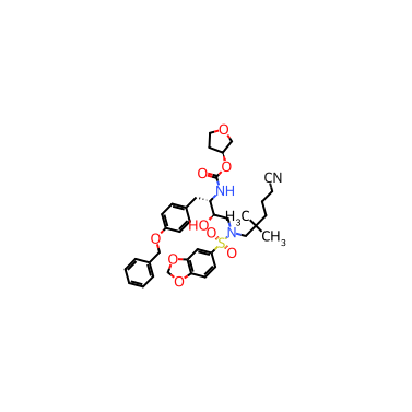 CC(C)(CCCC#N)CN(C[C@@H](O)[C@H](Cc1ccc(OCc2ccccc2)cc1)NC(=O)O[C@H]1CCOC1)S(=O)(=O)c1ccc2c(c1)OCO2